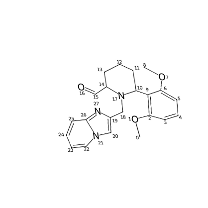 COc1cccc(OC)c1C1CCCC(C=O)N1Cc1cn2ccccc2n1